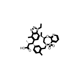 CC[C@@H]1CN(Cc2cc([C@@H](c3ccc4c(nnn4CC)c3C)[C@@H](C)C(=O)O)ccc2C)S(=O)(=O)c2cccnc2O1